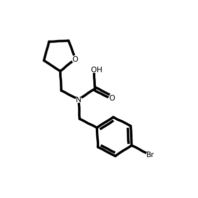 O=C(O)N(Cc1ccc(Br)cc1)CC1CCCO1